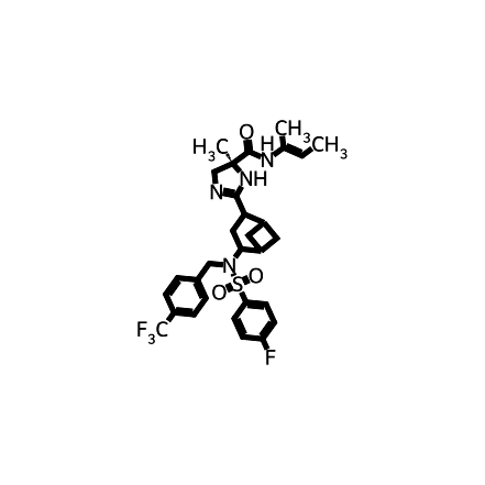 C/C=C(\C)NC(=O)[C@]1(C)CN=C(C2CC(N(Cc3ccc(C(F)(F)F)cc3)S(=O)(=O)c3ccc(F)cc3)C3CC2C3)N1